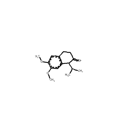 COc1cc2c(cc1OC)C(C(C)C)C(=O)CC2